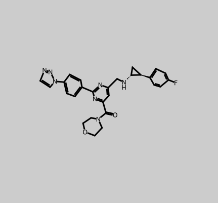 O=C(c1cc(CN[C@@H]2C[C@H]2c2ccc(F)cc2)nc(-c2ccc(-n3ccnn3)cc2)n1)N1CCOCC1